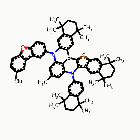 Cc1cc2c3c(c1)N(c1ccc4c(c1)C(C)(C)CCC4(C)C)c1c(sc4cc5c(cc14)C(C)(C)CCC5(C)C)B3c1cc3c(cc1N2c1ccc2oc4ccc(C(C)(C)C)cc4c2c1)C(C)(C)CCC3(C)C